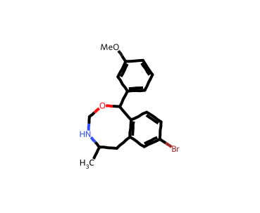 COc1cccc(C2OCNC(C)Cc3cc(Br)ccc32)c1